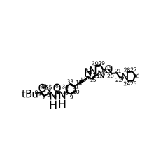 CC(C)(C)c1cc(NC(=O)Nc2ccc(C#Cc3cc4nc(OCCCN5CCCCC5)ccn4n3)cc2)no1